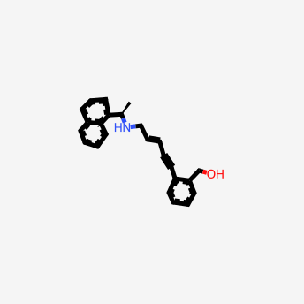 C[C@@H](NC/C=C/C#Cc1ccccc1CO)c1cccc2ccccc12